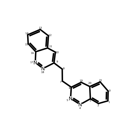 c1ccc2nnc(CCc3cc4ccccc4nn3)cc2c1